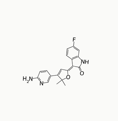 CC1(C)OC(=C2C(=O)Nc3cc(F)ccc32)C=C1c1ccc(N)nc1